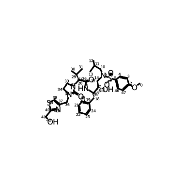 COc1ccc(S(=O)(=O)N(CC(C)C)C[C@H](O)[C@H](Cc2ccccc2)NC(=O)[C@H](C(C)C)N2CCN(Cc3csc(CO)n3)C2=O)cc1